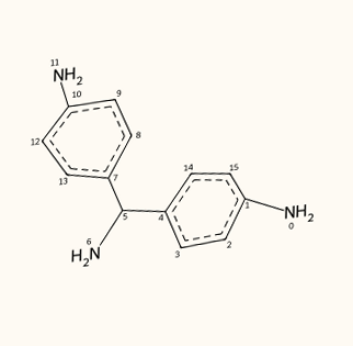 Nc1ccc(C(N)c2ccc(N)cc2)cc1